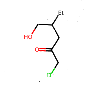 CCC(CO)CC(=O)CCl